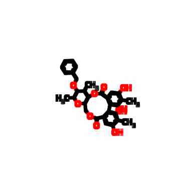 Cc1c(O)cc2c(c1O)-c1c(cc(O)c(C)c1O)C(=O)OC1C(COC2=O)OC(C)C(OCc2ccccc2)C1C